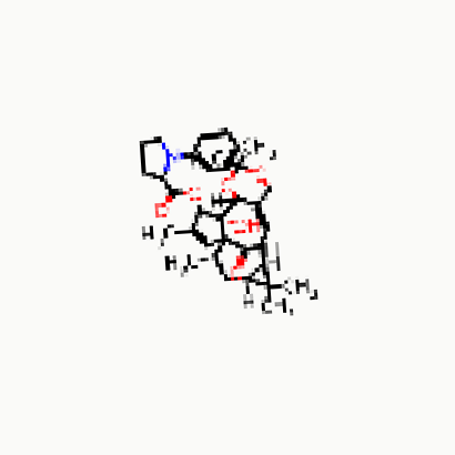 CC1=C[C@]23C(=O)[C@@H](C=C4COC(C)(C)O[C@H]4[C@]2(O)[C@H]1OC(=O)C1CCCN1c1ccccc1)[C@H]1[C@@H](C[C@H]3C)C1(C)C